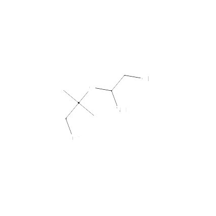 CC(C)CC(C)(C)OC(N)CO